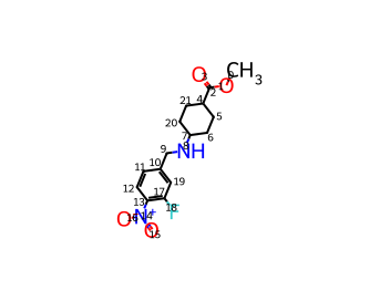 COC(=O)C1CCC(NCc2ccc([N+](=O)[O-])c(F)c2)CC1